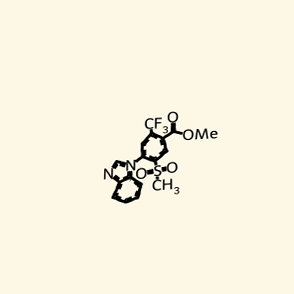 COC(=O)c1cc(S(C)(=O)=O)c(-n2cnc3ccccc32)cc1C(F)(F)F